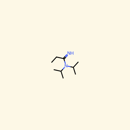 CCC(=N)N(C(C)C)C(C)C